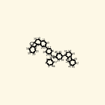 c1ccc(N(c2ccc(-c3ccc4ccc5oc6ccccc6c5c4c3)cc2)c2ccc(-c3cccc4c3sc3ccccc34)cc2)cc1